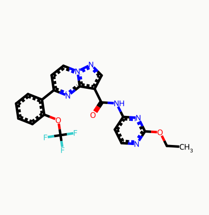 CCOc1nccc(NC(=O)c2cnn3ccc(-c4ccccc4OC(F)(F)F)nc23)n1